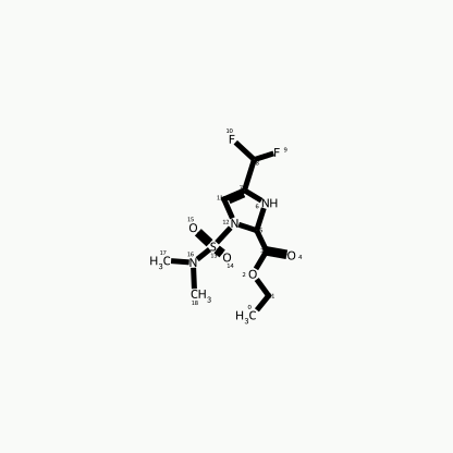 CCOC(=O)C1NC(C(F)F)=CN1S(=O)(=O)N(C)C